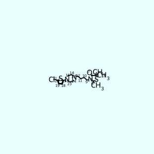 CC1SC(C)(C)C(=O)N1CCCCN1CCN(c2ccc(Cl)s2)CC1